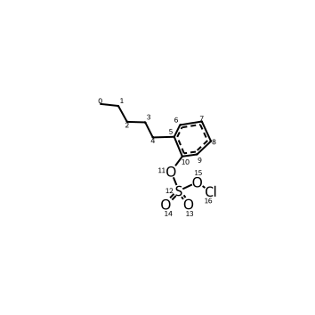 CCCCCc1ccccc1OS(=O)(=O)OCl